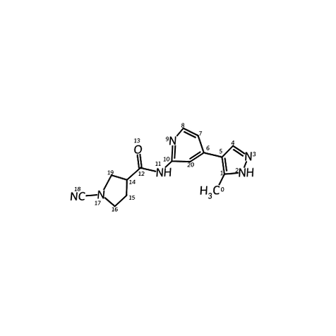 Cc1[nH]ncc1-c1ccnc(NC(=O)C2CCN(C#N)C2)c1